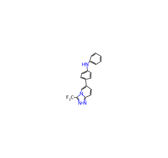 FC(F)(F)c1nnc2ccc(-c3ccc(Nc4ccccc4)cc3)cn12